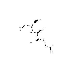 C=CC(C#N)OC(=O)C(=C)CCCC